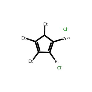 CCC1=[C]([Zr+2])C(CC)C(CC)=C1CC.[Cl-].[Cl-]